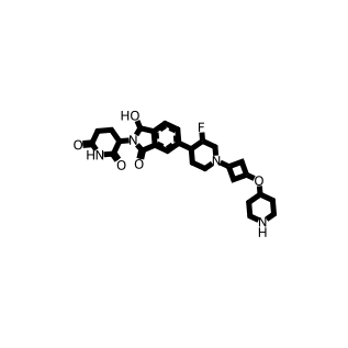 O=C1CCC(N2C(=O)c3cc(C4CCN(C5CC(OC6CCNCC6)C5)CC4F)ccc3C2O)C(=O)N1